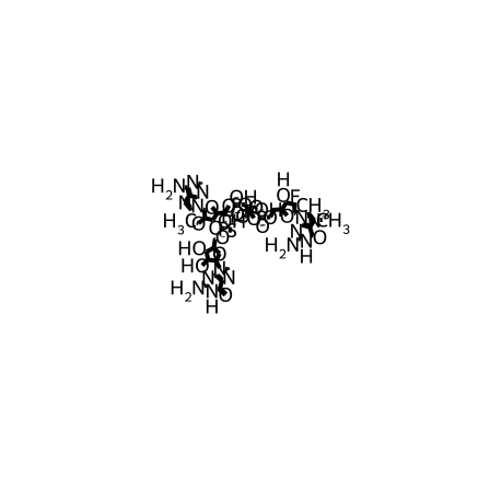 COC1C(OP(O)(=S)OCC2OC(n3cnc4c(=O)[nH]c(N)nc43)C(O)C2O)C(COP(=O)(O)OP(=O)(O)OP(=O)(O)OCC2OC(n3c[n+](C)c4c(=O)[nH]c(N)nc43)C(C)(F)C2O)OC1n1cnc2c(N)ncnc21